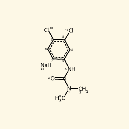 CN(C)C(=O)Nc1ccc(Cl)c(Cl)c1.[NaH]